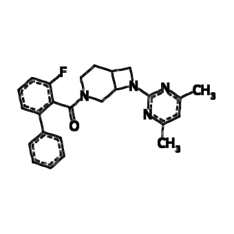 Cc1cc(C)nc(N2CC3CCN(C(=O)c4c(F)cccc4-c4ccccc4)CC32)n1